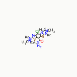 CC(=O)N(c1nc2c(Cl)c3nc(N(C(C)=O)N(C)C)sc3c(C(N)=O)c2s1)N(C)C